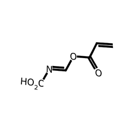 C=CC(=O)OC=NC(=O)O